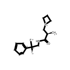 C[C@H](CN1CCC1)C(=O)NCC(F)(F)c1ccccc1